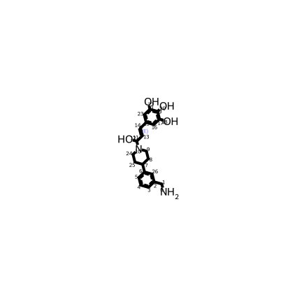 NCc1cccc(C2CCN(C(O)/C=C/c3cc(O)c(O)c(O)c3)CC2)c1